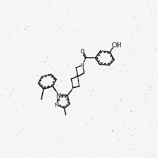 Cc1cc(C2CC3(C2)CN(C(=O)c2cccc(O)c2)C3)n(-c2ccccc2C)n1